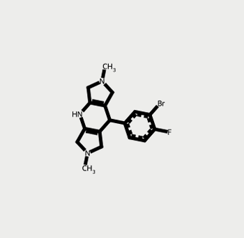 CN1CC2=C(C1)C(c1ccc(F)c(Br)c1)C1=C(CN(C)C1)N2